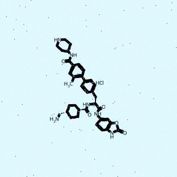 Cc1cc(C(=O)NC2CCNCC2)ccc1-c1ccc(C[C@H](NC(=O)[C@H]2CC[C@H](CN)CC2)C(=O)Nc2ccc3[nH]c(=O)oc3c2)cc1.Cl